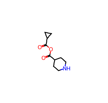 O=C(OC(=O)C1CC1)C1CCNCC1